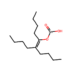 CCCCC(CCCC)=C(CCCC)[O][Sn](=[O])[OH]